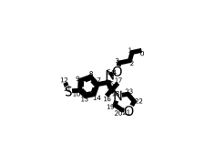 CCCCON=C(c1ccc(SC)cc1)C(C)(C)N1CCOCC1